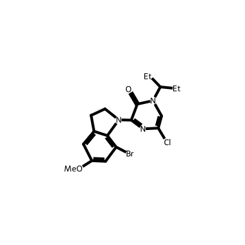 CCC(CC)n1cc(Cl)nc(N2CCc3cc(OC)cc(Br)c32)c1=O